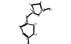 CC1=CC=C(CN2CCN(C)C2)CC1